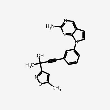 Cc1cc(C(C)(O)C#Cc2cccc(-n3ccc4cnc(N)nc43)c2)no1